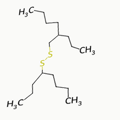 CCCCC(CCC)CSSC(CCC)CCCC